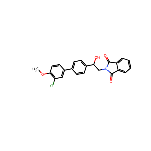 COc1ccc(-c2ccc(C(O)CN3C(=O)c4ccccc4C3=O)cc2)cc1Cl